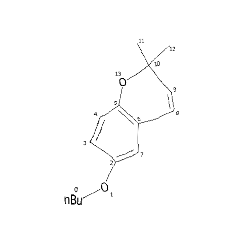 CCCCOc1ccc2c(c1)C=CC(C)(C)O2